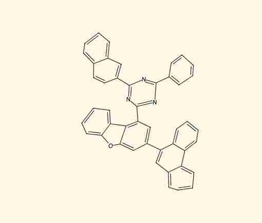 c1ccc(-c2nc(-c3ccc4ccccc4c3)nc(-c3cc(-c4cc5ccccc5c5ccccc45)cc4oc5ccccc5c34)n2)cc1